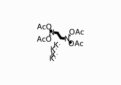 CC(=O)ON(CCN(OC(C)=O)OC(C)=O)OC(C)=O.[K].[K].[K].[K]